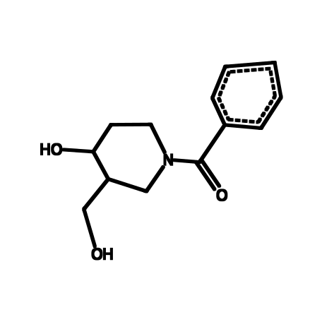 O=C(c1ccccc1)N1CCC(O)C(CO)C1